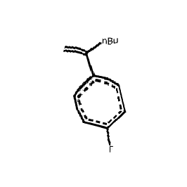 C=C(CCCC)c1ccc(F)cc1